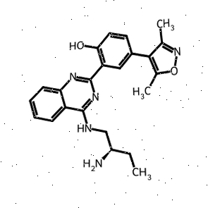 CC[C@@H](N)CNc1nc(-c2cc(-c3c(C)noc3C)ccc2O)nc2ccccc12